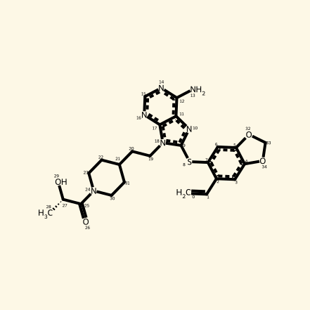 C=Cc1cc2c(cc1Sc1nc3c(N)ncnc3n1CCC1CCN(C(=O)[C@H](C)O)CC1)OCO2